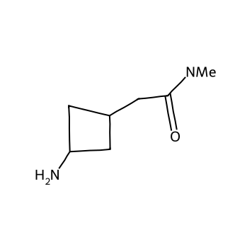 CNC(=O)CC1CC(N)C1